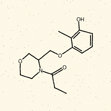 CCC(=O)N1CCOCC1COc1cccc(O)c1C